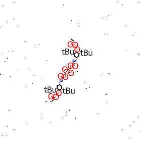 C=CC(=O)OCOc1c(C(C)(C)C)cc(/C=C/C(=O)OC2COC3C(OC(=O)/C=C/c4cc(C(C)(C)C)c(OCOC(=O)C=C)c(C(C)(C)C)c4)COC23)cc1C(C)(C)C